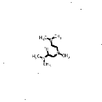 [2H]C(CN(C)CCN(C)C)N(C)C